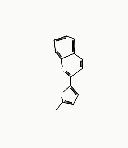 Cc1ccc(-c2ccc3ccccc3n2)s1